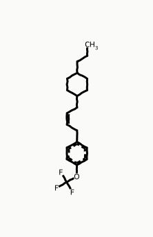 CCCC1CCC(C/C=C\Cc2ccc(OC(F)(F)F)cc2)CC1